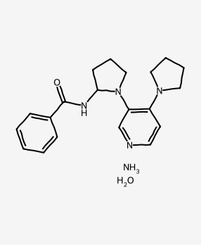 N.O.O=C(NC1CCCN1c1cnccc1N1CCCC1)c1ccccc1